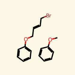 BrCC=CCOc1ccccc1.COc1ccccc1